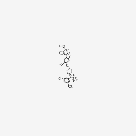 O=C(O)[C@@H]1CCCN1C(=O)c1cc(C2CC2)c(OCC2CCN(C(c3cc(Cl)cc(Cl)c3)C(F)(F)F)CC2)cc1F